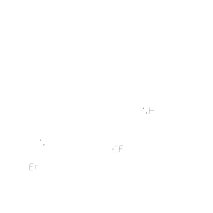 CCN(C)CCc1c(C(F)(F)F)[nH]c2ccccc12